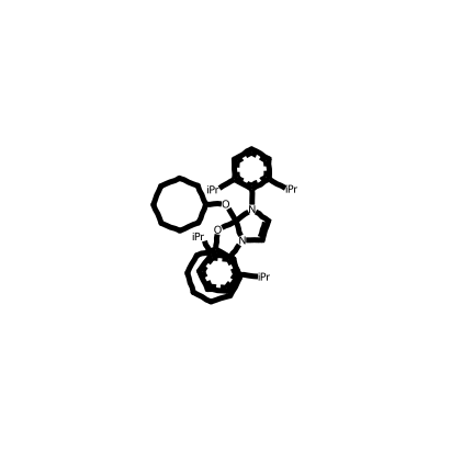 CC(C)c1cccc(C(C)C)c1N1C=CN(c2c(C(C)C)cccc2C(C)C)C1(OC1CCCCCCC1)OC1CCCCCCC1